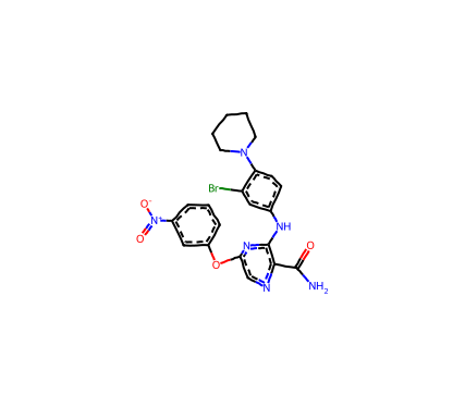 NC(=O)c1ncc(Oc2cccc([N+](=O)[O-])c2)nc1Nc1ccc(N2CCCCC2)c(Br)c1